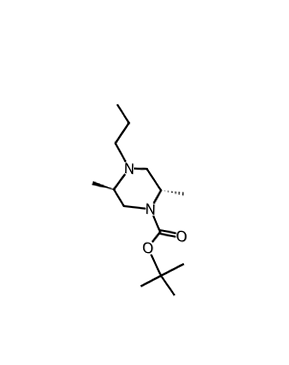 CCCN1C[C@H](C)N(C(=O)OC(C)(C)C)C[C@H]1C